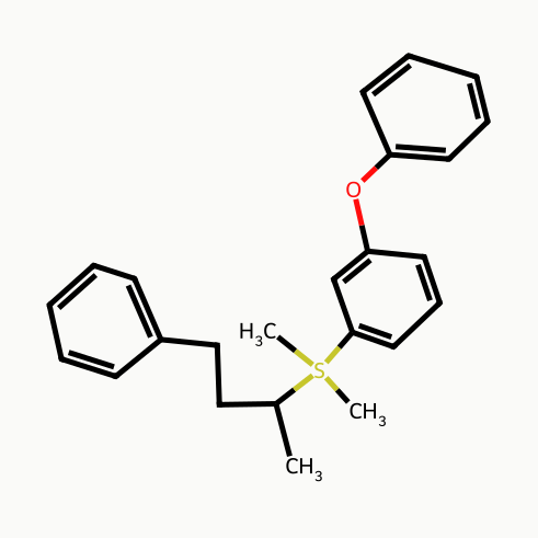 CC(CCc1ccccc1)S(C)(C)c1cccc(Oc2ccccc2)c1